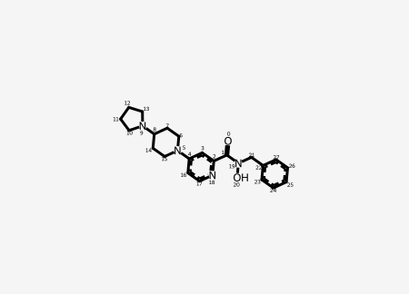 O=C(c1cc(N2CCC(N3CCCC3)CC2)ccn1)N(O)Cc1ccccc1